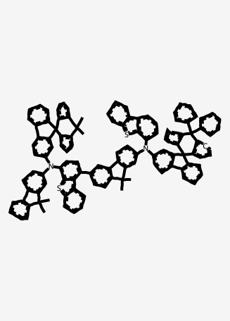 CC1(C)c2ccc(-c3ccc(N(c4ccc5c(c4)C(C)(C)c4ccccc4-5)c4ccc5c(c4)C4(c6ccccc6-5)c5ccccc5C(C)(C)c5ccccc54)c4sc5ccccc5c34)cc2-c2ccc(N(c3ccc4c(c3)C3(c5ccccc5-4)c4ccccc4C(c4ccccc4)(c4ccccc4)c4ccccc43)c3cccc4c3sc3ccccc34)cc21